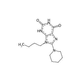 CCCCn1c(N2CCCCC2)nc2c(=O)[nH]c(=O)[nH]c21